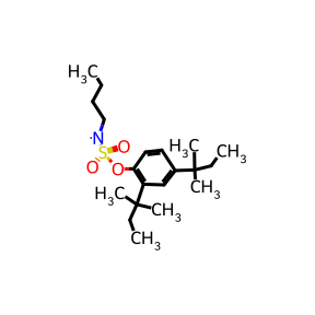 CCCC[N]S(=O)(=O)Oc1ccc(C(C)(C)CC)cc1C(C)(C)CC